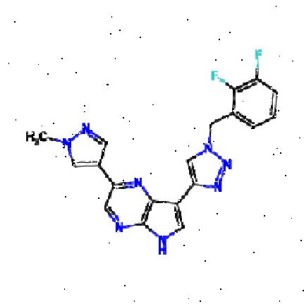 Cn1cc(-c2cnc3[nH]cc(-c4cn(Cc5cccc(F)c5F)nn4)c3n2)cn1